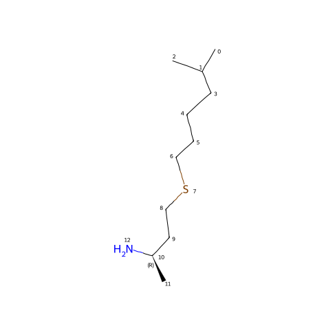 CC(C)CCCCSCC[C@@H](C)N